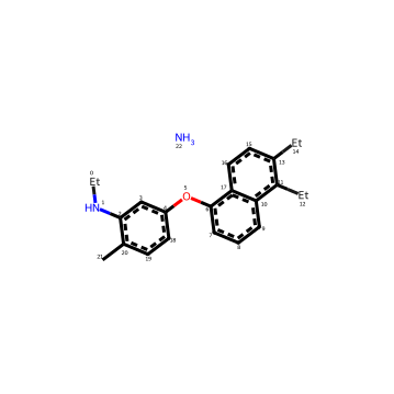 CCNc1cc(Oc2cccc3c(CC)c(CC)ccc23)ccc1C.N